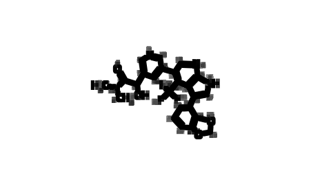 CN(C)C(=O)C(O)c1cncc(-c2cnc3[nH]cc(-c4cccc5c4OCO5)c3c2C(F)(F)F)c1